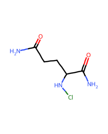 NC(=O)CCC(NCl)C(N)=O